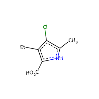 CCc1c(C(=O)O)[nH]c(C)c1Cl